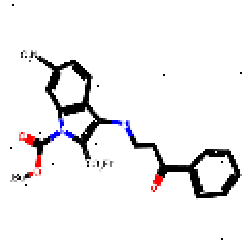 CCOC(=O)c1c(NCCC(=O)c2ccccc2)c2ccc([N+](=O)[O-])cc2n1C(=O)OC(C)(C)C